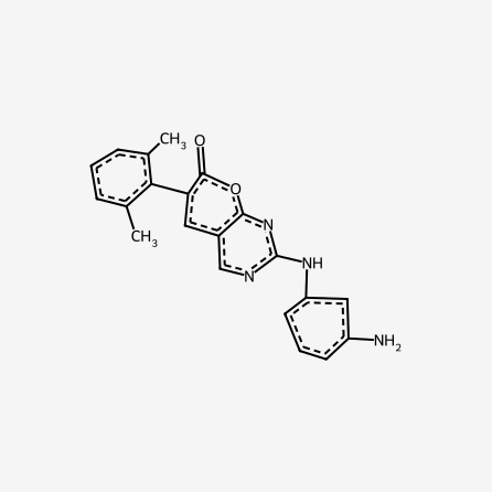 Cc1cccc(C)c1-c1cc2cnc(Nc3cccc(N)c3)nc2oc1=O